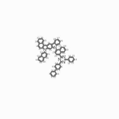 c1ccc(-c2ccc(-c3nc(-c4ccccc4)nc(-c4ccc(-n5c6ccccc6c6cc7c8c9ccccc9ccc8n(-c8ccc9ccccc9c8)c7cc65)c5ccccc45)n3)cc2)cc1